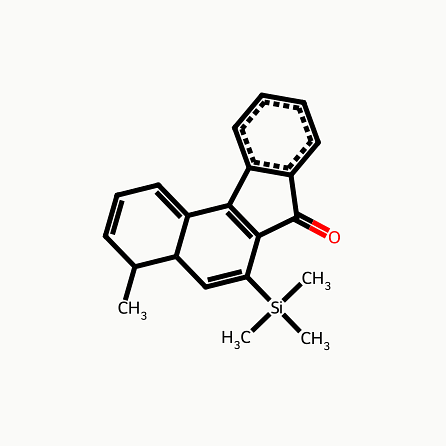 CC1C=CC=C2C3=C(C(=O)c4ccccc43)C([Si](C)(C)C)=CC21